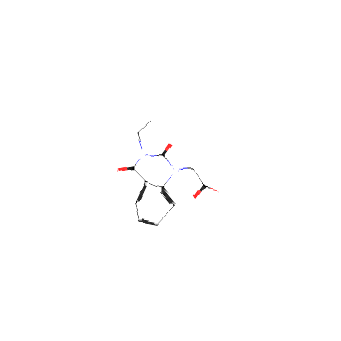 CCn1c(=O)c2ccccc2n(CC(=O)O)c1=O